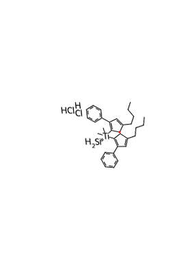 CCCCC1=CC(c2ccccc2)=[C]([Ti]([CH3])([CH3])(=[SiH2])[C]2=C(c3ccccc3)C=C(CCCC)C2)C1.Cl.Cl